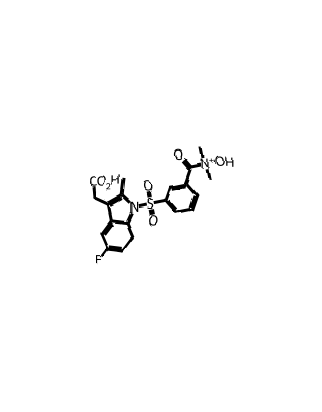 CC1=C(CC(=O)O)C2=CC(F)=CCC2N1S(=O)(=O)c1cccc(C(=O)[N+](C)(C)O)c1